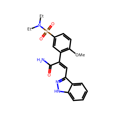 CCN(CC)S(=O)(=O)c1ccc(OC)c(C(=Cc2n[nH]c3ccccc23)C(N)=O)c1